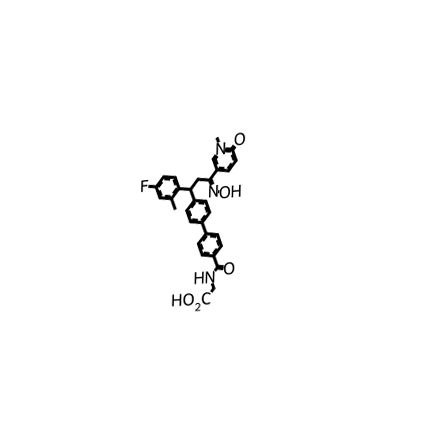 Cc1cc(F)ccc1C(CC(=NO)c1ccc(=O)n(C)c1)c1ccc(-c2ccc(C(=O)NCC(=O)O)cc2)cc1